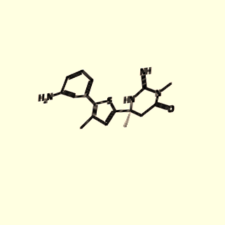 Cc1cc([C@]2(C)CC(=O)N(C)C(=N)N2)sc1-c1cccc(N)c1